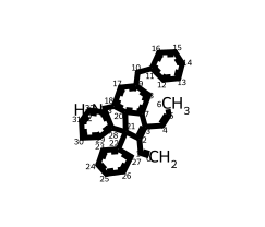 C=CC1=C(/C=C\C)c2cc(Cc3ccccc3)cc(N)c2C1(c1ccccc1)c1ccccc1